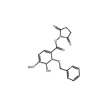 COC1=CC=C(C(=O)ON2C(=O)CCC2=O)N(OCc2ccccc2)C1O